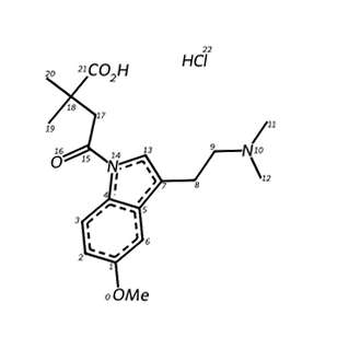 COc1ccc2c(c1)c(CCN(C)C)cn2C(=O)CC(C)(C)C(=O)O.Cl